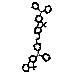 CC1(C)C2=C(C=CCC2)c2ccc(N(c3ccccc3)c3ccc(/C=C/c4ccc5c(c4)C(C)(C)c4cc(N(C6=CC=CCC6)c6ccccc6)ccc4-5)cc3)cc21